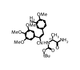 COc1ccc(C=C(C#N)c2cc(OC)c(OC)c(OC)c2)cc1N.C[C@H](NC(=O)OC(C)(C)C)C(N)=O